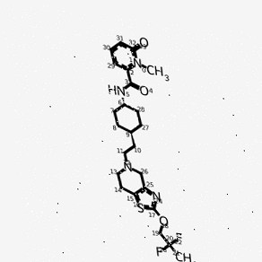 Cn1c(C(=O)N[C@H]2CC[C@H](CCN3CCc4sc(OCC(C)(F)F)nc4C3)CC2)cccc1=O